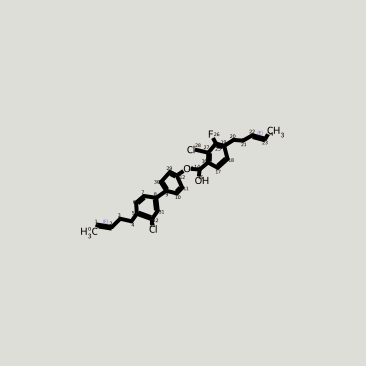 C/C=C/CCc1ccc(-c2ccc(OC(O)c3ccc(CC/C=C/C)c(F)c3Cl)cc2)cc1Cl